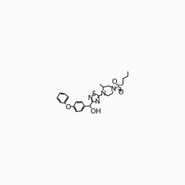 CCCCS(=O)(=O)N1CCN(c2nc(C(O)c3ccc(Oc4ccccc4)cc3)ns2)C(C)C1